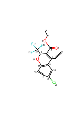 C=CC1=C(C(=O)OCC)C(C(F)(F)F)Oc2ccc(Cl)cc21